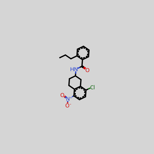 CCCc1ccccc1C(=O)NC1CCc2c([N+](=O)[O-])ccc(Cl)c2C1